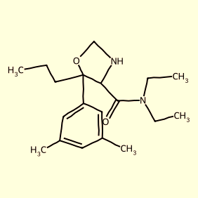 CCCC1(c2cc(C)cc(C)c2)OCNC1C(=O)N(CC)CC